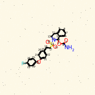 NC(=O)OC1c2ccccc2CCN1S(=O)(=O)CCc1ccc(Oc2ccc(F)cc2)cc1